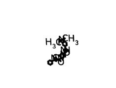 Cc1nn(C)c2cc(-c3noc(N4CCN(C(=O)c5cc(-c6ccccc6)no5)CC4)n3)ccc12